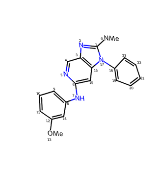 CNc1nc2cnc(Nc3cccc(OC)c3)cc2n1-c1ccccc1